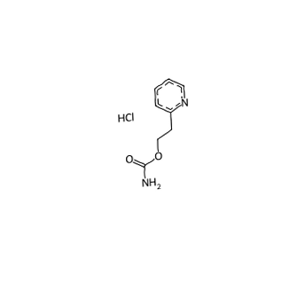 Cl.NC(=O)OCCc1ccccn1